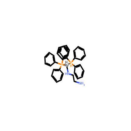 NCC[NH][RuH2]([PH](c1ccccc1)(c1ccccc1)c1ccccc1)[PH](c1ccccc1)(c1ccccc1)c1ccccc1